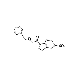 O=C(COCc1ccccc1)N1CCc2cc([N+](=O)[O-])ccc21